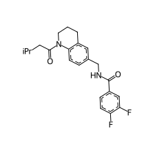 CC(C)CC(=O)N1CCCc2cc(CNC(=O)c3ccc(F)c(F)c3)ccc21